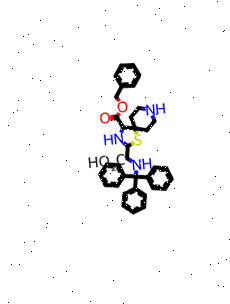 O=C(O)C(NC(c1ccccc1)(c1ccccc1)c1ccccc1)C1NC(C(=O)OCc2ccccc2)C2(CCNCC2)S1